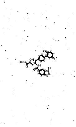 CC(C)COC(=O)[C@H](O)C[C@@H](Cc1ccc(-c2cc(Cl)ccc2Cl)cc1)NC(=O)c1ccc2nnn(O)c2c1